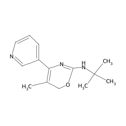 CC1=C(c2cccnc2)N=C(NC(C)(C)C)OC1